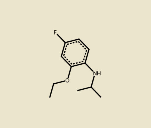 CCOc1cc(F)ccc1NC(C)C